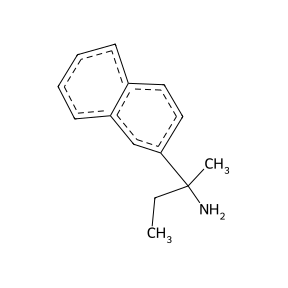 CCC(C)(N)c1ccc2ccccc2c1